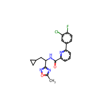 Cc1nc(C(CC2CC2)NC(=O)c2cccc(-c3ccc(F)c(Cl)c3)n2)no1